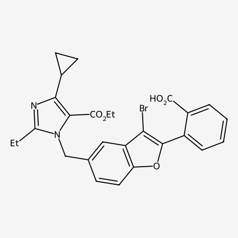 CCOC(=O)c1c(C2CC2)nc(CC)n1Cc1ccc2oc(-c3ccccc3C(=O)O)c(Br)c2c1